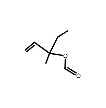 C=CC(C)(CC)OC=O